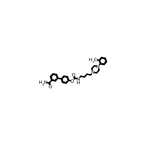 Cc1ccccc1N1CCN(CCCCNC(=O)Oc2ccc(-c3cccc(C(N)=O)c3)cc2)CC1